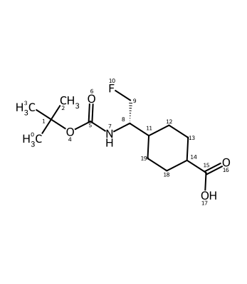 CC(C)(C)OC(=O)N[C@H](CF)C1CCC(C(=O)O)CC1